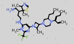 C=CC(=CCC)N1CCN(C2CN(c3cc(NCCC(CN)C4(C)SC=NC4C)[n+](C)c(C(F)(F)F)n3)C2C)CC1CCC